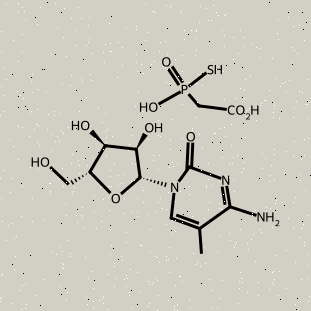 Cc1cn([C@@H]2O[C@H](CO)[C@@H](O)[C@H]2O)c(=O)nc1N.O=C(O)CP(=O)(O)S